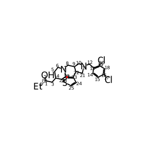 CC[C@H](O)CC1CCN(CC2CN(Cc3ccc(Cl)cc3Cl)CC2c2ccsc2)CC1